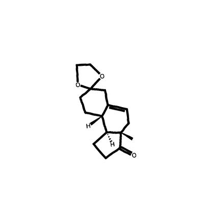 C[C@]12CC=C3CC4(CC[C@H]3[C@@H]1CCC2=O)OCCO4